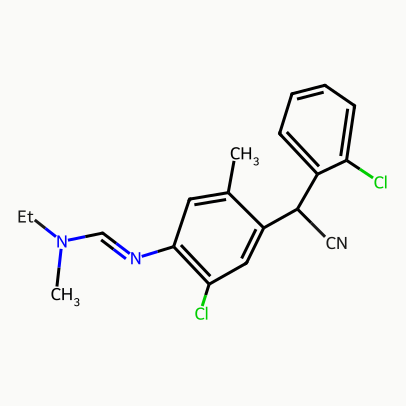 CCN(C)C=Nc1cc(C)c(C(C#N)c2ccccc2Cl)cc1Cl